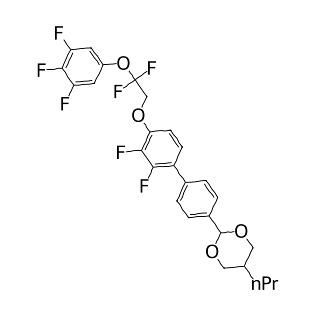 CCCC1COC(c2ccc(-c3ccc(OCC(F)(F)Oc4cc(F)c(F)c(F)c4)c(F)c3F)cc2)OC1